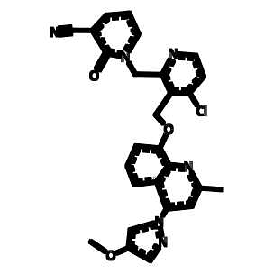 COc1cnn(-c2cc(C)nc3c(OCc4c(Cl)ccnc4Cn4cccc(C#N)c4=O)cccc23)c1